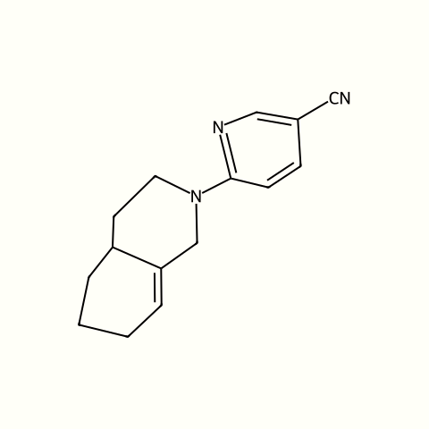 N#Cc1ccc(N2CCC3CCCC=C3C2)nc1